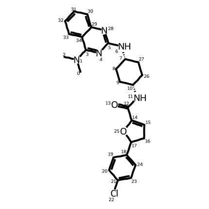 CN(C)c1nc(N[C@H]2CC[C@@H](NC(=O)C3=CCC(c4ccc(Cl)cc4)O3)CC2)nc2ccccc12